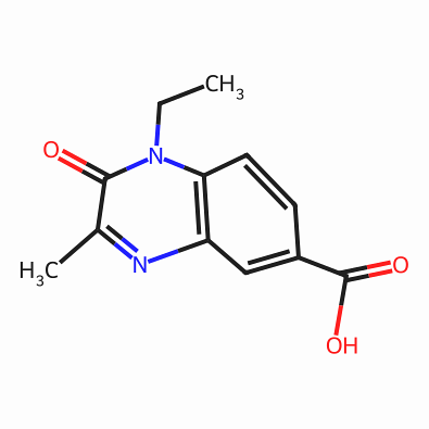 CCn1c(=O)c(C)nc2cc(C(=O)O)ccc21